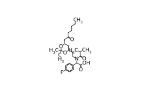 CCCCCC(=O)C[C@H]1C[C@@H](CCN(C(=O)C(C)C)C(C(=O)O)c2ccc(F)cc2)OC(C)(C)O1